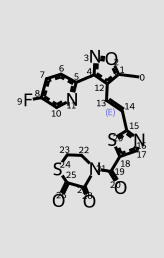 Cc1onc(-c2ccc(F)cn2)c1/C=C/c1ncc(C(=O)N2CCSC(=O)C2=O)s1